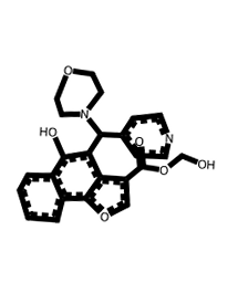 O=C(OCO)c1coc2c1c(C(c1ccncc1)N1CCOCC1)c(O)c1ccccc12